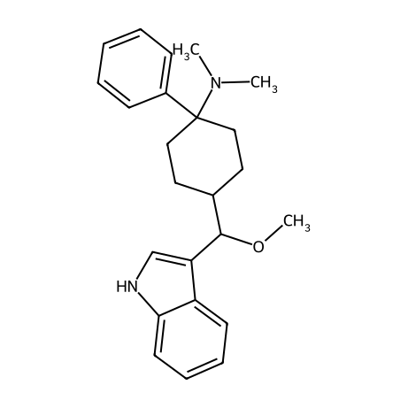 COC(c1c[nH]c2ccccc12)C1CCC(c2ccccc2)(N(C)C)CC1